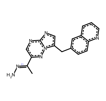 C/C(=N\N)c1cnc2ncc(Cc3ccc4ncccc4c3)n2n1